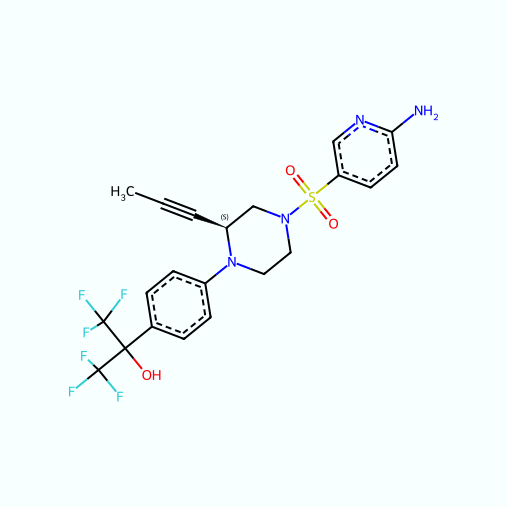 CC#C[C@H]1CN(S(=O)(=O)c2ccc(N)nc2)CCN1c1ccc(C(O)(C(F)(F)F)C(F)(F)F)cc1